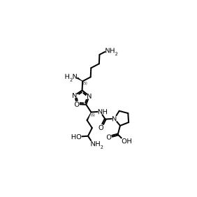 NCCCC[C@H](N)c1noc([C@H](CCC(N)O)NC(=O)N2CCCC2C(=O)O)n1